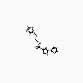 O=C(NCCn1cncn1)c1cc(-c2cccs2)on1